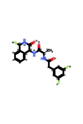 C[C@H](NC(=O)Cc1cc(F)cc(F)c1)C(=O)NC1C(=O)NC(F)c2ccccc21